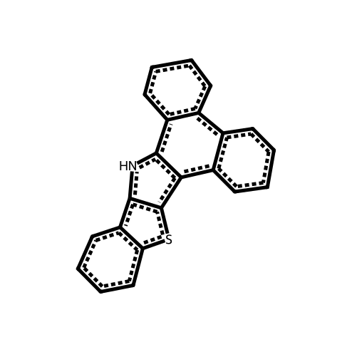 c1ccc2c(c1)sc1c2[nH]c2c3ccccc3c3ccccc3c21